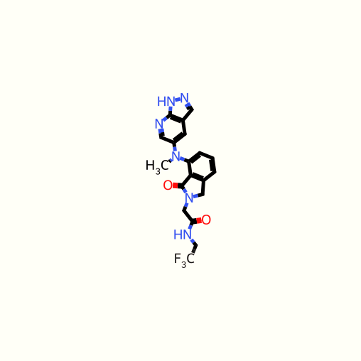 CN(c1cnc2[nH]ncc2c1)c1cccc2c1C(=O)N(CC(=O)NCC(F)(F)F)C2